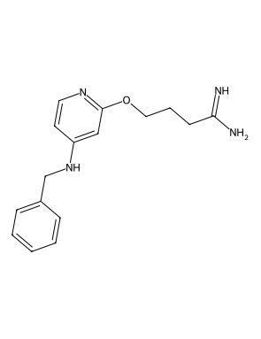 N=C(N)CCCOc1cc(NCc2ccccc2)ccn1